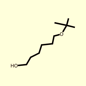 CC(C)(C)OCCCCCCO